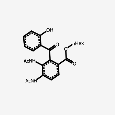 CCCCCCOC(=O)c1ccc(NC(C)=O)c(NC(C)=O)c1C(=O)c1ccccc1O